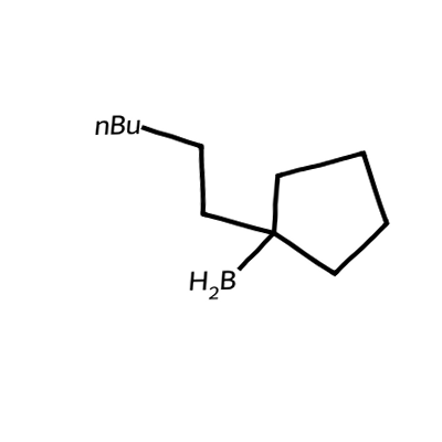 BC1(CCCCCC)CCCC1